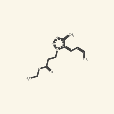 C=c1nnn(CCC(=O)OCC)/c1=C/C=C\C